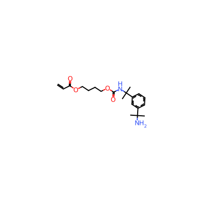 C=CC(=O)OCCCCOC(=O)NC(C)(C)c1cccc(C(C)(C)N)c1